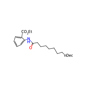 CCCCCCCCCCCCCCCCCC(=O)Nc1ccccc1C(=O)OCC